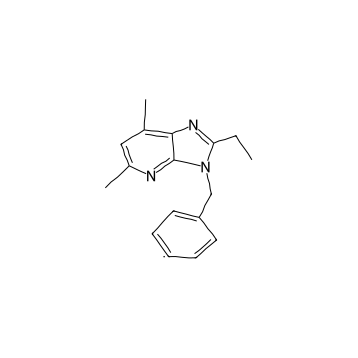 CCc1nc2c(C)cc(C)nc2n1Cc1cc[c]cc1